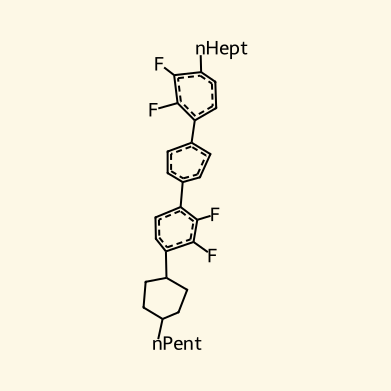 CCCCCCCc1ccc(-c2ccc(-c3ccc(C4CCC(CCCCC)CC4)c(F)c3F)cc2)c(F)c1F